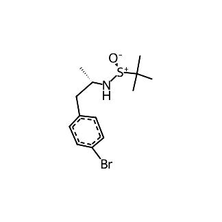 C[C@@H](Cc1ccc(Br)cc1)N[S@@+]([O-])C(C)(C)C